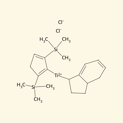 C[Si](C)(C)C1=CCC([Si](C)(C)C)=[C]1[Ti+2][CH]1CCC2CC=CC=C21.[Cl-].[Cl-]